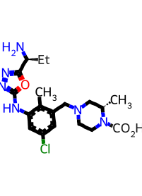 CC[C@H](N)c1nnc(Nc2cc(Cl)cc(CN3CCN(C(=O)O)[C@@H](C)C3)c2C)o1